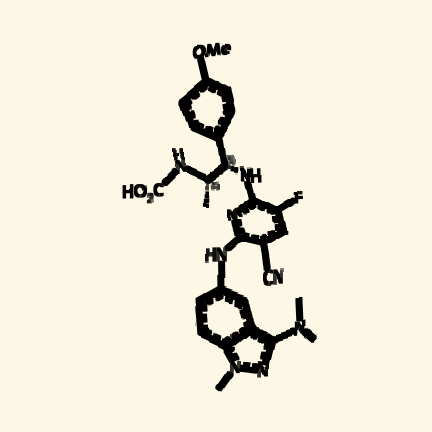 COc1ccc([C@H](Nc2nc(Nc3ccc4c(c3)c(N(C)C)nn4C)c(C#N)cc2F)[C@H](C)NC(=O)O)cc1